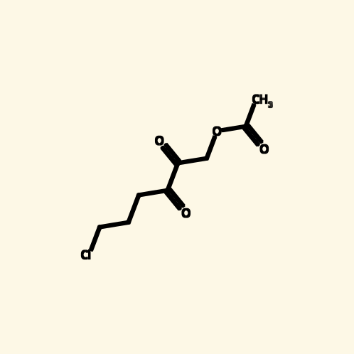 CC(=O)OCC(=O)C(=O)CCCCl